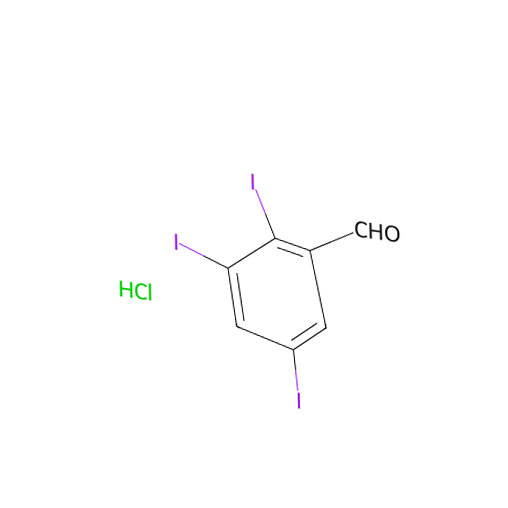 Cl.O=Cc1cc(I)cc(I)c1I